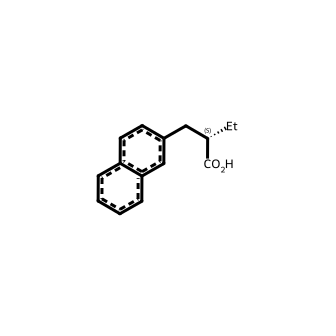 CC[C@@H](Cc1ccc2ccccc2c1)C(=O)O